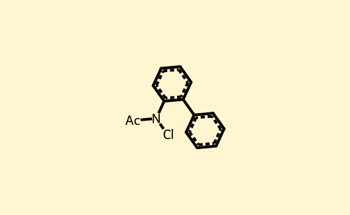 CC(=O)N(Cl)c1ccccc1-c1ccccc1